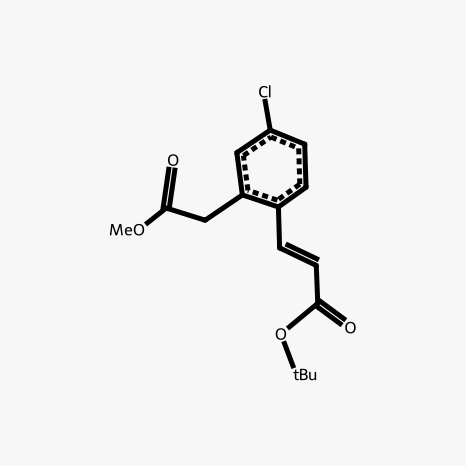 COC(=O)Cc1cc(Cl)ccc1C=CC(=O)OC(C)(C)C